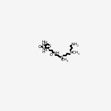 CN(CCCN)CCCCN(C)CCCNC(=O)CC[C@@H]1SC[C@@H]2NC(=O)N[C@@H]21